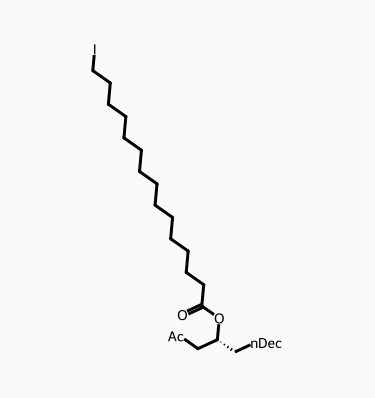 CCCCCCCCCCC[C@H](CC(C)=O)OC(=O)CCCCCCCCCCCCCCI